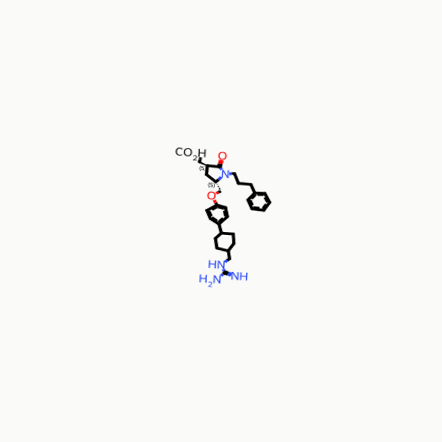 N=C(N)NCC1CCC(c2ccc(OC[C@@H]3C[C@@H](CC(=O)O)C(=O)N3CCCc3ccccc3)cc2)CC1